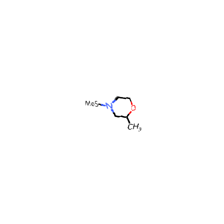 CSN1CCO[C](C)C1